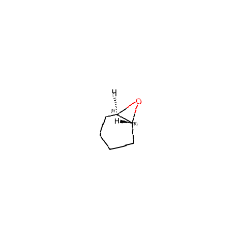 C1CC[C@H]2O[C@@H]2C1